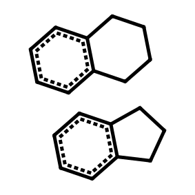 c1ccc2c(c1)CCC2.c1ccc2c(c1)CCCC2